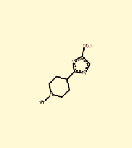 CCCN1CCC(c2nc(C(=O)O)cs2)CC1